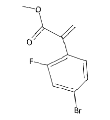 C=C(C(=O)OC)c1ccc(Br)cc1F